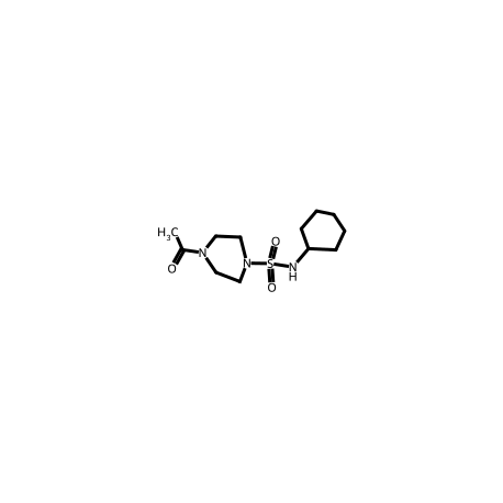 CC(=O)N1CCN(S(=O)(=O)NC2CCCCC2)CC1